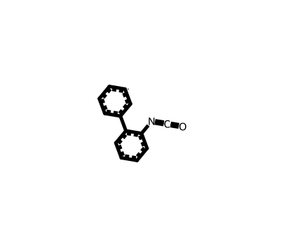 O=C=Nc1ccccc1-c1c[c]ccc1